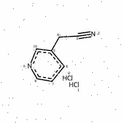 Cl.Cl.N#CCc1cccnc1